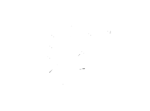 C[C@]1(F)[C@H](n2ccc(N)n/c2=N\O)O[C@@](CO)(N=[N+]=[N-])[C@H]1O